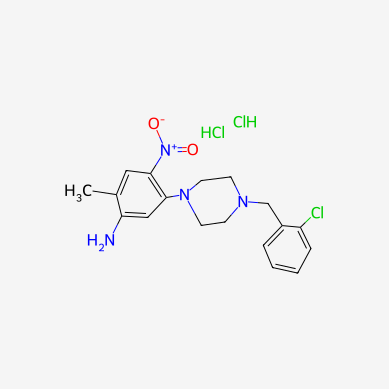 Cc1cc([N+](=O)[O-])c(N2CCN(Cc3ccccc3Cl)CC2)cc1N.Cl.Cl